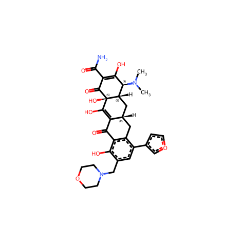 CN(C)[C@@H]1C(O)=C(C(N)=O)C(=O)[C@@]2(O)C(O)=C3C(=O)c4c(O)c(CN5CCOCC5)cc(-c5ccoc5)c4C[C@H]3C[C@@H]12